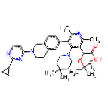 Cc1nc(C)c(C(OC(C)(C)C)C(=O)O)c(N2CCC(C)(C)CC2)c1-c1ccc2c(c1)CCN(c1ccnc(C3CC3)n1)C2